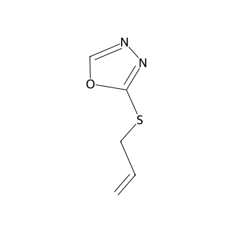 C=CCSc1nnco1